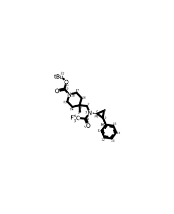 CC1(CN(C(=O)C(F)(F)F)[C@@H]2CC2c2ccccc2)CCN(C(=O)OC(C)(C)C)CC1